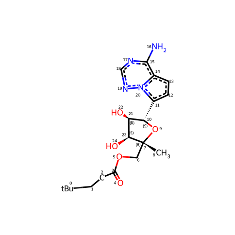 CC(C)(C)CCC(=O)OC[C@@]1(C)O[C@@H](c2ccc3c(N)ncnn23)[C@H](O)[C@@H]1O